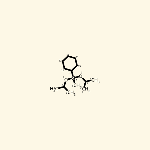 CC(C)O[Si](C)(OC(C)C)C1CCCCC1